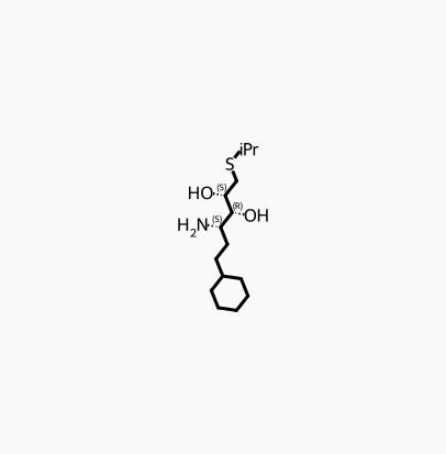 CC(C)SC[C@@H](O)[C@H](O)[C@@H](N)CCC1CCCCC1